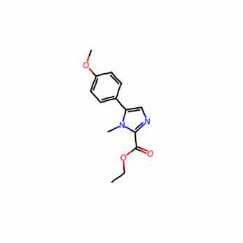 CCOC(=O)c1ncc(-c2ccc(OC)cc2)n1C